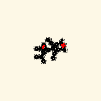 CC(C)(C)c1cc(-c2ccc3c(c2)B2c4cc(-c5cc(C(C)(C)C)cc(C(C)(C)C)c5)ccc4N(c4ccc(-c5ccccc5)cc4)c4cc(-c5ccc6c(c5)c5ccccc5n6-c5ccc(-c6nc(-c7ccccc7)cc(-c7ccccc7)n6)cc5-c5nc(-c6ccccc6)nc(-c6ccccc6)n5)cc(c42)N3c2ccc(-c3ccccc3)cc2)cc(C(C)(C)C)c1